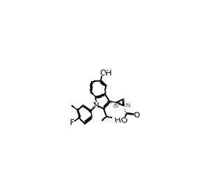 Cc1cc(-n2c(C(C)C)c([C@H]3C[C@@H]3C(=O)O)c3cc(O)ccc32)ccc1F